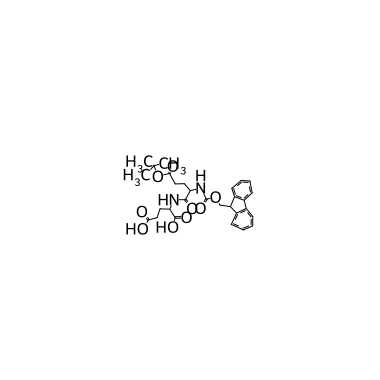 CC(C)(C)OC(=O)CCC(NC(=O)OCC1c2ccccc2-c2ccccc21)C(=O)NC(CCC(=O)O)C(=O)O